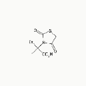 CCC(C)(C(=O)O)N1C(=O)CSC1=O